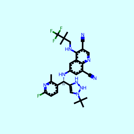 Cc1nc(F)ccc1[C@H](Nc1cc(C#N)c2ncc(C#N)c(NCC(C)(C)C(F)(F)F)c2c1)C1=CN(C(C)(C)C)NN1